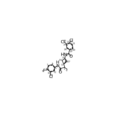 CC(C(=O)Nc1ccc(F)c(Cl)c1)C12CC(NC(=O)c3ccc(Cl)c(Cl)c3)(C1)C2